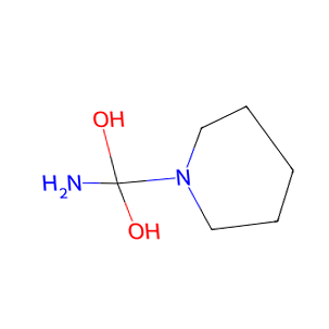 NC(O)(O)N1CCCCC1